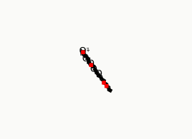 CCCCCCCCCCOCCOCCOCCOCC[N+](C)(C)[O-]